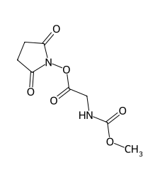 COC(=O)NCC(=O)ON1C(=O)CCC1=O